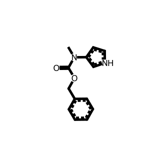 CN(C(=O)OCc1ccccc1)c1cc[nH]c1